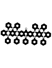 O=c1c2cc3c(cc2n(-c2ccccc2)c2cc4c(cc12)B1c2ccccc2N2c5ccccc5B5c6ccccc6N(c6ccccc6)c6cc(c1c2c65)N4c1ccccc1)N(c1ccccc1)c1cc2c4c5c1B3c1ccccc1N5c1ccccc1B4c1ccccc1N2c1ccccc1